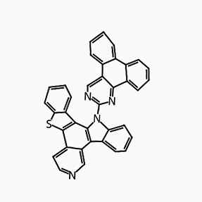 c1ccc2c(c1)sc1c3ccncc3c3c4ccccc4n(-c4ncc5c6ccccc6c6ccccc6c5n4)c3c21